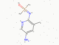 Cc1cc(N)cnc1N=S(C)(C)=O